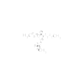 CCCCCC(SCCCC(F)(F)CC)C(=O)OCCCC